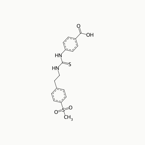 CS(=O)(=O)c1ccc(CCNC(=S)Nc2ccc(C(=O)O)cc2)cc1